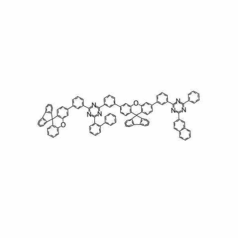 c1ccc(-c2nc(-c3cccc(-c4ccc5c(c4)Oc4cc(-c6cccc(-c7nc(-c8cccc(-c9ccc%10c(c9)Oc9ccccc9C%109c%10ccccc%10-c%10ccccc%109)c8)nc(-c8ccccc8-c8ccccc8)n7)c6)ccc4C54c5ccccc5-c5ccccc54)c3)nc(-c3ccc4ccccc4c3)n2)cc1